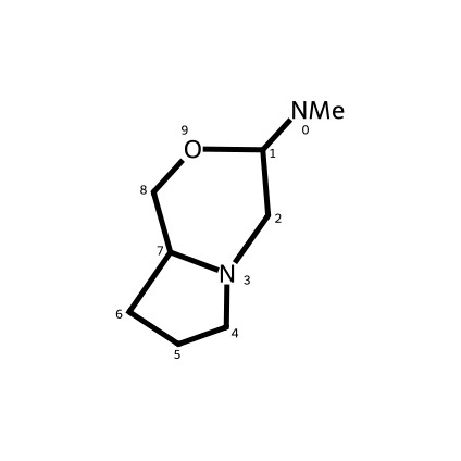 CNC1CN2CCCC2CO1